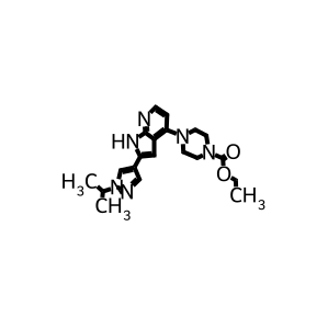 CCOC(=O)N1CCN(c2ccnc3[nH]c(-c4cnn(C(C)C)c4)cc23)CC1